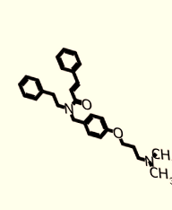 CN(C)CCCOc1ccc(CN(CCc2ccccc2)C(=O)C=Cc2ccccc2)cc1